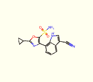 N#Cc1c[nH]c2c(-c3nc(C4CC4)oc3S(N)(=O)=O)cccc12